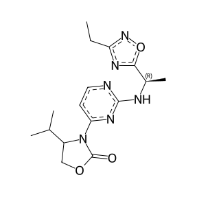 CCc1noc([C@@H](C)Nc2nccc(N3C(=O)OCC3C(C)C)n2)n1